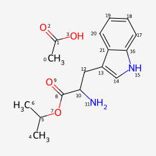 CC(=O)O.CC(C)OC(=O)C(N)Cc1c[nH]c2ccccc12